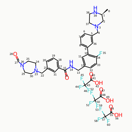 C[C@H]1CN(Cc2cccc(-c3cc(CNC(=O)c4cccc(CN5CCN(C=O)CC5)c4)ccc3F)c2)CCN1.O=C(O)C(F)(F)F.O=C(O)C(F)(F)F.O=C(O)C(F)(F)F